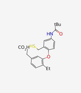 CCc1ccc(CC(=O)O)cc1Oc1ccc(NC(=O)C(C)(C)C)cc1CS